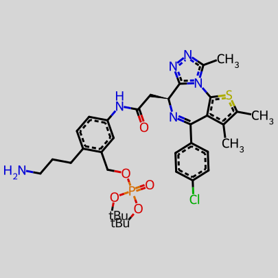 Cc1sc2c(c1C)C(c1ccc(Cl)cc1)=N[C@@H](CC(=O)Nc1ccc(CCCN)c(COP(=O)(OC(C)(C)C)OC(C)(C)C)c1)c1nnc(C)n1-2